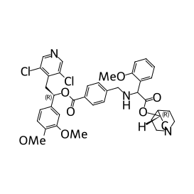 COc1ccc([C@@H](Cc2c(Cl)cncc2Cl)OC(=O)c2ccc(CNC(C(=O)O[C@H]3CN4CCC3CC4)c3ccccc3OC)cc2)cc1OC